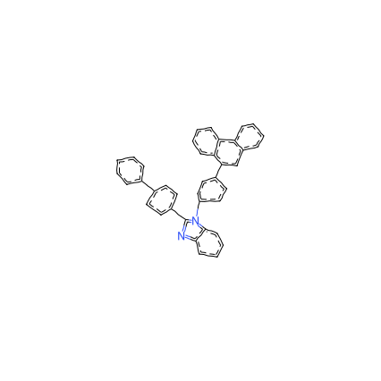 c1ccc(-c2ccc(-c3nc4ccccc4n3-c3ccc(-c4cc5ccccc5c5ccccc45)cc3)cc2)cc1